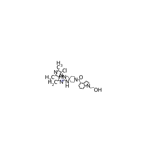 C=C(/N=C1\NCC2(CCN(C(=O)c3cccc4c3ccn4CCO)CC2)N1)c1nc(Cl)c(C)nc1C